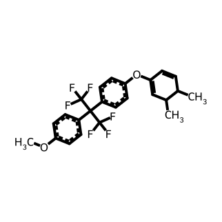 COc1ccc(C(c2ccc(OC3=CC(C)C(C)C=C3)cc2)(C(F)(F)F)C(F)(F)F)cc1